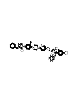 O=c1n(-c2ccc(N3CCN(c4ccc(OC[C@@H]5CO[C@@](Cn6cnnn6)(c6ccc(Cl)cc6Cl)O5)cn4)CC3)c(F)c2)cnn1CC1CCCCC1